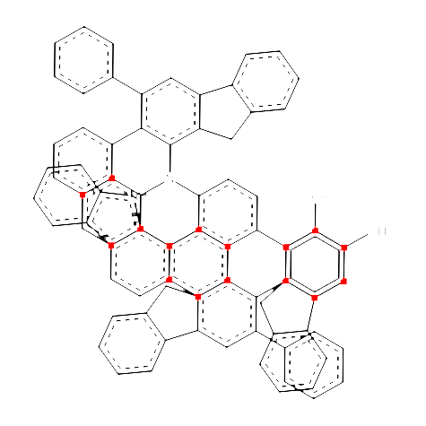 Cc1cc2c(c(-c3ccc(N(c4ccccc4-c4ccccc4)c4c5c(cc(-c6ccccc6)c4-c4ccccc4)-c4ccccc4C5)c(-c4cccc5c4[nH]c4ccccc45)c3-c3c4c(cc(-c5ccccc5)c3-c3ccccc3)-c3ccccc3C4)c1C)Cc1ccccc1-2